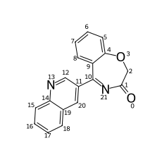 O=C1COc2ccccc2C(c2cnc3ccccc3c2)=N1